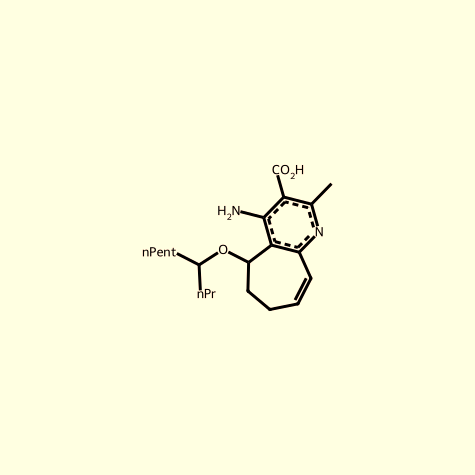 CCCCCC(CCC)OC1CCC=Cc2nc(C)c(C(=O)O)c(N)c21